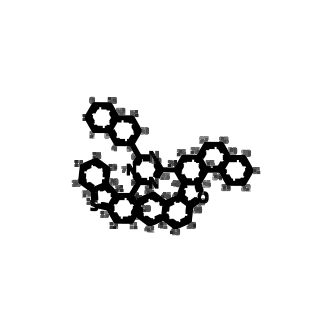 c1ccc2cc(-c3nc(-c4cccc5sc6ccccc6c45)nc(-c4cc5ccc6ccccc6c5c5oc6ccc7ccccc7c6c45)n3)ccc2c1